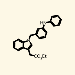 CCOC(=O)Cc1cn(Cc2cccc(Nc3ccccc3)c2)c2ccccc12